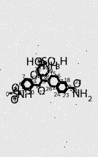 CS(=O)(=O)Nc1ccc2c(c1)C(=O)C(C1CCc3cc(C(N)=O)ccc3C1)C1(CCNCC1)O2.O=S(=O)(O)O